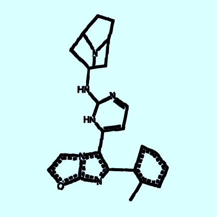 Cc1ccccc1-c1nc2occn2c1C1=CC=NC(NC2CC3CCC(C2)N3C)N1